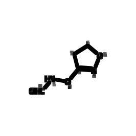 O=CNOC1=NOCC1